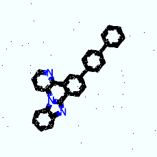 c1ccc(-c2ccc(-c3ccc4c(c3)c3ncccc3n3c5ccccc5nc43)cc2)cc1